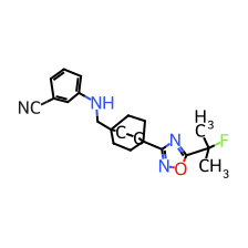 CC(C)(F)c1nc(C23CCC(CNc4cccc(C#N)c4)(CC2)CC3)no1